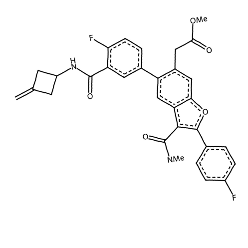 C=C1CC(NC(=O)c2cc(-c3cc4c(C(=O)NC)c(-c5ccc(F)cc5)oc4cc3CC(=O)OC)ccc2F)C1